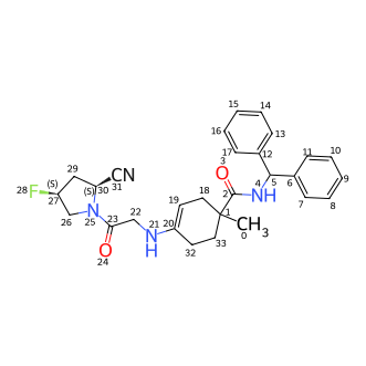 CC1(C(=O)NC(c2ccccc2)c2ccccc2)CC=C(NCC(=O)N2C[C@@H](F)C[C@H]2C#N)CC1